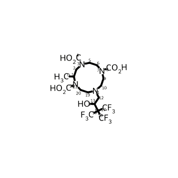 CC1CN(C(=O)O)CCN(C(=O)O)CCN(CC(O)C(C(F)(F)F)(C(F)(F)F)C(F)(F)F)CCN1C(=O)O